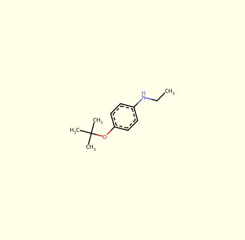 CCNc1ccc(OC(C)(C)C)cc1